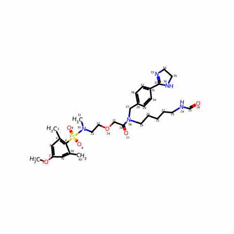 COc1cc(C)c(S(=O)(=O)N(C)CCOCC(=O)N(CCCCCNC=O)Cc2ccc(C3=NCCN3)cc2)c(C)c1